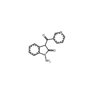 NN1C(=O)C(C(=O)c2cccnc2)c2ccccc21